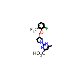 Cc1cc(C(=O)O)nc(N2CC[C@H](COc3c(F)cccc3C(F)(F)F)C2)n1